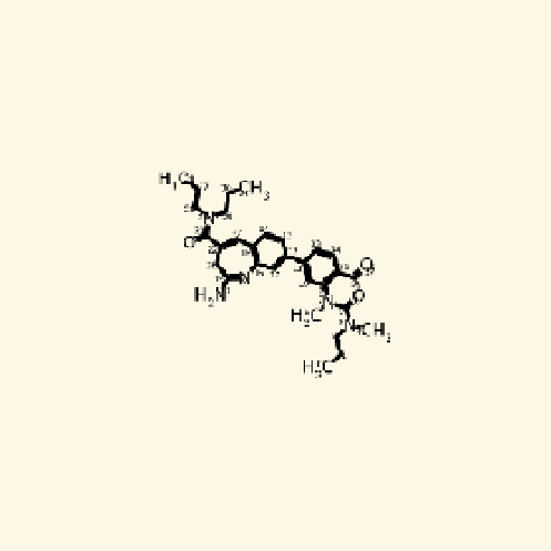 CCCN(C)C(=O)N(C)c1cc(-c2ccc3c(c2)N=C(N)CC(C(=O)N(CCC)CCC)=C3)ccc1C=O